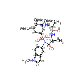 COc1cc(S(=O)(=O)N(C(=O)[C@H](C)NC(=O)[C@H](C)N)c2ccc3c(ccn3C)c2)cc(OC)c1OC